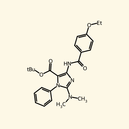 CCOc1ccc(C(=O)Nc2nc(N(C)C)n(-c3ccccc3)c2C(=O)OC(C)(C)C)cc1